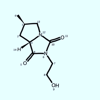 C[C@@H]1C[C@H]2C(=O)N(CCO)C(=O)N2C1